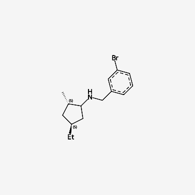 CC[C@@H]1CC(NCc2cccc(Br)c2)[C@@H](C)C1